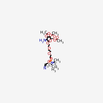 CC(=O)OC[C@H]1O[C@@H](OCCOCCOCCOP(OCCC#N)N(C(C)C)C(C)C)[C@H](N)[C@@H](OC(C)=O)[C@H]1OC(C)=O